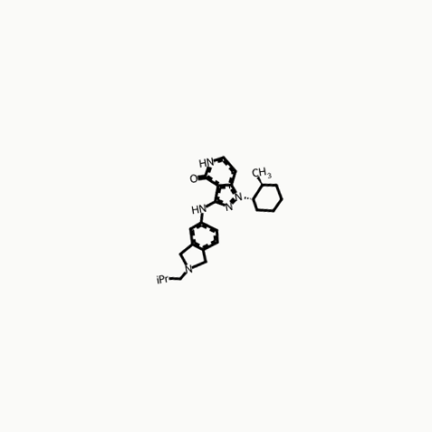 CC(C)CN1Cc2ccc(Nc3nn([C@H]4CCCC[C@@H]4C)c4cc[nH]c(=O)c34)cc2C1